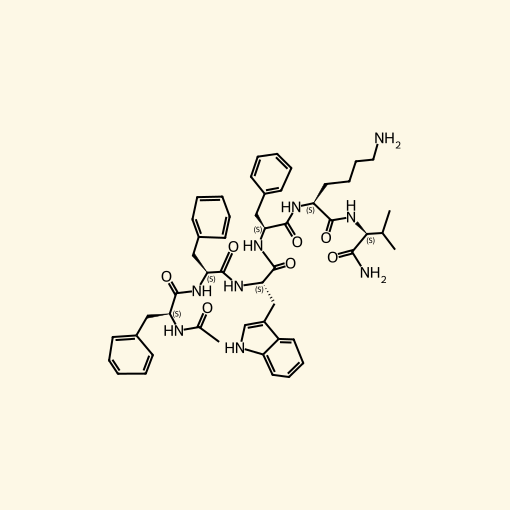 CC(=O)N[C@@H](Cc1ccccc1)C(=O)N[C@@H](Cc1ccccc1)C(=O)N[C@@H](Cc1c[nH]c2ccccc12)C(=O)N[C@@H](Cc1ccccc1)C(=O)N[C@@H](CCCCN)C(=O)N[C@H](C(N)=O)C(C)C